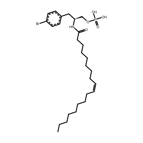 CCCCCCCC/C=C\CCCCCCCC(=O)N[C@H](COP(=O)(O)O)Cc1ccc(Br)cc1